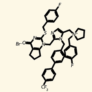 O=c1nc(SCc2ccc(F)cc2)n(Cc2ncc(C[N+]3(Cc4ccc(F)cc4)CCCC3)n2Cc2ccc(-c3ccc(C(F)(F)F)cc3)cc2)c2c1CCC2.[Br-]